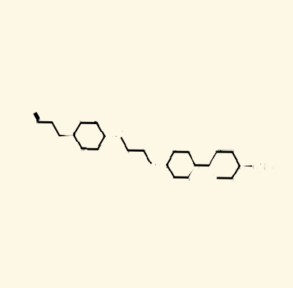 C=CCC[C@H]1CC[C@H](CCCC[C@H]2CC[C@H]([C@H]3CC[C@H](CCCCCCCCC)CC3)CC2)CC1